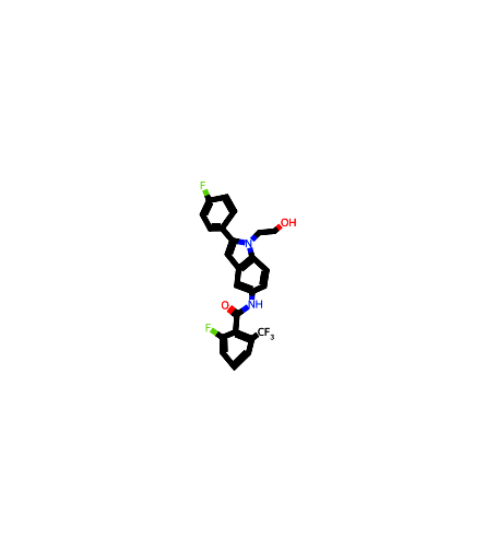 O=C(Nc1ccc2c(c1)cc(-c1ccc(F)cc1)n2CCO)c1c(F)cccc1C(F)(F)F